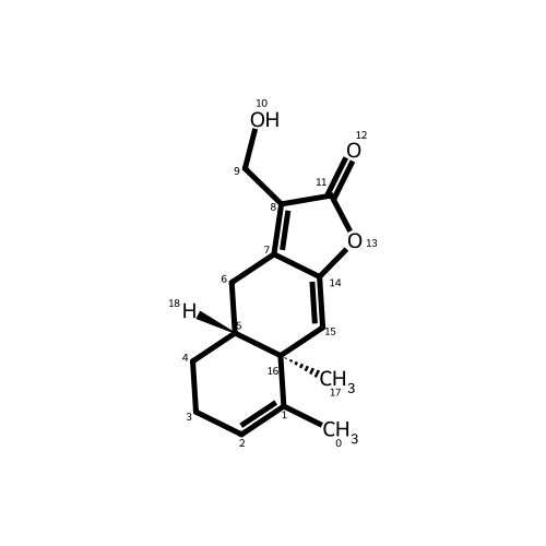 CC1=CCC[C@@H]2CC3=C(CO)C(=O)OC3=C[C@@]12C